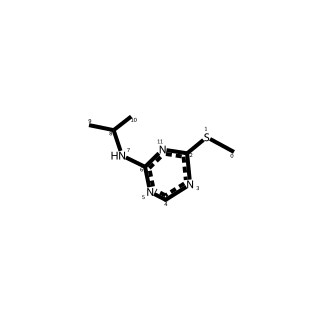 CSc1ncnc(NC(C)C)n1